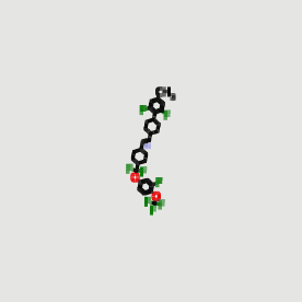 Cc1cc(F)c(C2CCC(/C=C/C3CCC(C(F)(F)Oc4ccc(OC(F)(F)F)c(F)c4)CC3)CC2)c(F)c1